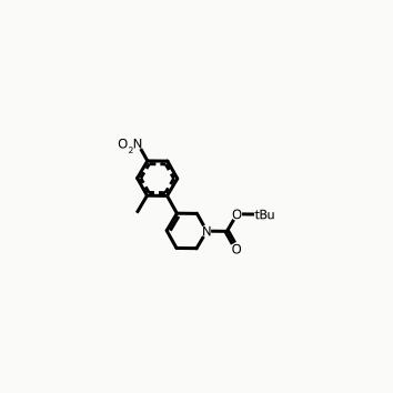 Cc1cc([N+](=O)[O-])ccc1C1=CCCN(C(=O)OC(C)(C)C)C1